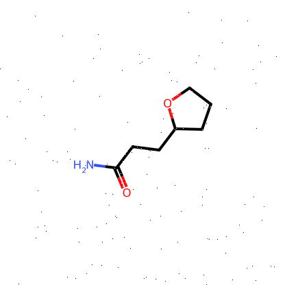 NC(=O)CCC1CCCO1